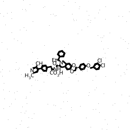 CC[C@@H](c1ccccc1)N1Cc2cc3c(cc2C[C@H]1C(=O)N[C@@H](Cc1ccc(-c2cc(C)ncc2C)cc1)C(=O)O)OC[C@H](c1ccc(OCc2ccc(Cl)c(Cl)c2)cc1)O3